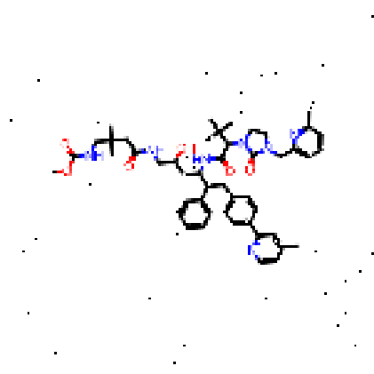 COC(=O)NCC(C)(C)CC(=O)NCC(O)CC(NC(=O)C(N1CCN(Cc2cccc(C)n2)C1=O)C(C)(C)C)C(Cc1ccc(-c2cc(C)ccn2)cc1)c1ccccc1